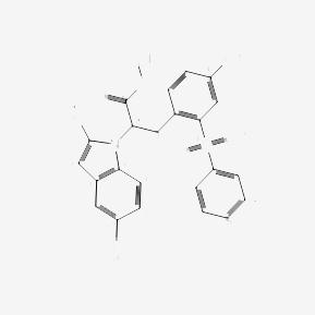 COC(=O)C(Cc1ccc(Cl)cc1S(=O)(=O)c1ccccc1)n1c(C)cc2cc(F)ccc21